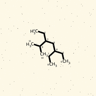 CC[C](CC(CC)CC)C(C)C